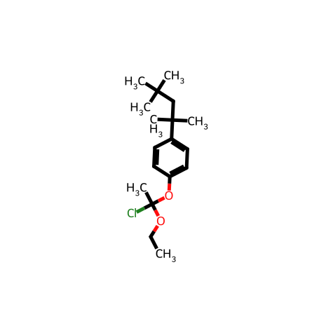 CCOC(C)(Cl)Oc1ccc(C(C)(C)CC(C)(C)C)cc1